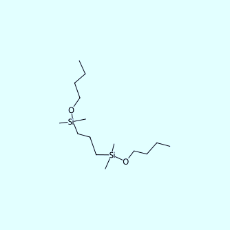 CCCCO[Si](C)(C)CCC[Si](C)(C)OCCCC